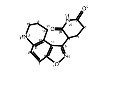 O=C1CCC(c2noc3ccc4c(c23)CCCN4)C(=O)N1